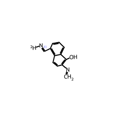 [2H]/N=C/c1cccc2c(O)c(N=C)ccc12